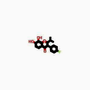 CC(C)c1oc2c(O)c(O)ccc2c(=O)c1-c1ccc(F)cc1